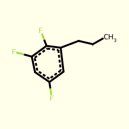 C[CH]Cc1cc(F)cc(F)c1F